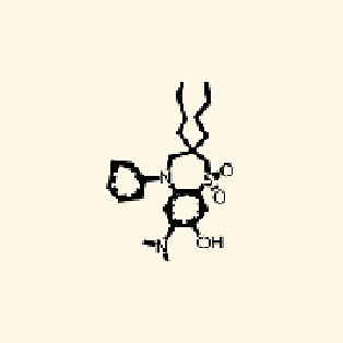 CCCCC1(CCCC)CN(c2ccccc2)c2cc(N(C)C)c(O)cc2S(=O)(=O)C1